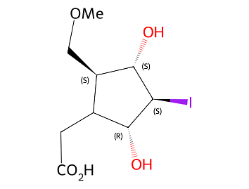 COC[C@@H]1C(CC(=O)O)[C@@H](O)[C@H](I)[C@H]1O